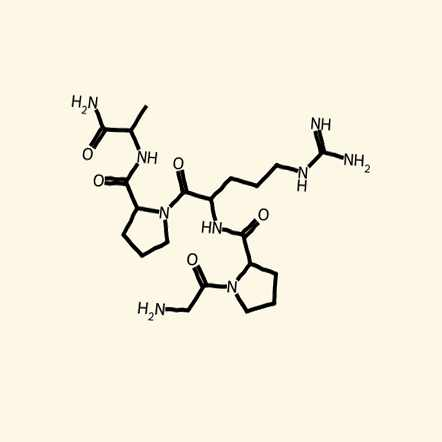 CC(NC(=O)C1CCCN1C(=O)C(CCCNC(=N)N)NC(=O)C1CCCN1C(=O)CN)C(N)=O